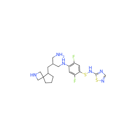 NCC(CNc1cc(F)c(SNc2ncns2)cc1F)CC1CCCC12CNC2